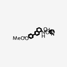 COCOc1ccc(-c2ccc3c(c2)CCCC3NC(=O)O[C@H]2CN3CCC2CC3)cc1